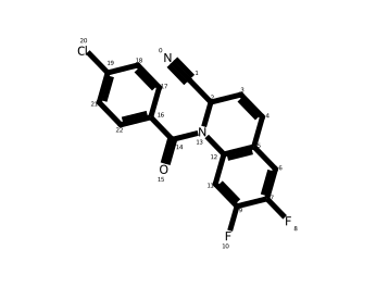 N#CC1C=Cc2cc(F)c(F)cc2N1C(=O)c1ccc(Cl)cc1